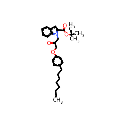 CCCCCCCCc1ccc(OCC(=O)Cn2c(C(=O)OC(C)(C)C)cc3ccccc32)cc1